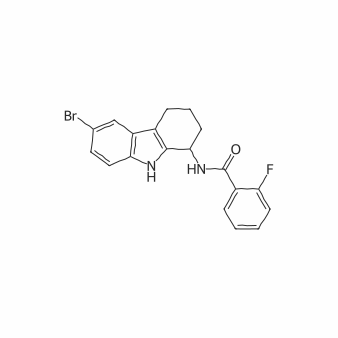 O=C(NC1CCCc2c1[nH]c1ccc(Br)cc21)c1ccccc1F